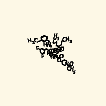 CCCC(CCC)S(=O)(=O)CC(NC(=O)OC1CCN(C(C)=O)CC1)C(=O)O[C@H](CNCc1cccc(CC)c1)[C@@H](N)Cc1cc(F)cc(F)c1